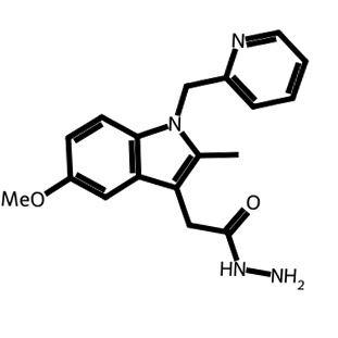 COc1ccc2c(c1)c(CC(=O)NN)c(C)n2Cc1ccccn1